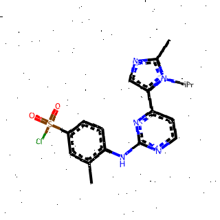 Cc1cc(S(=O)(=O)Cl)ccc1Nc1nccc(-c2cnc(C)n2C(C)C)n1